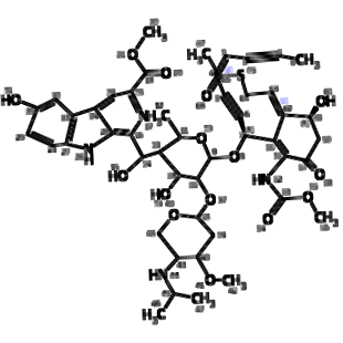 CC#C/C=C\C#C[C@H](OC1OC(C)C(C(O)c2nc(C(=O)OC)cc3c2[nH]c2ccc(O)cc23)C(O)C1OC1CC(OC)C(NC(C)C)CO1)C1=C(NC(=O)OC)C(=O)C[C@H](O)/C1=C/CSC(C)=O